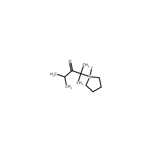 CC(C)C(=O)C(C)(C)S1(I)CCCC1